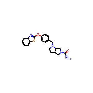 NC(=O)N1CC2CCN(Cc3ccc(Oc4nc5ccccc5s4)cc3)C2C1